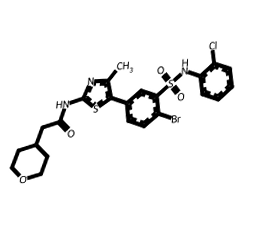 Cc1nc(NC(=O)CC2CCOCC2)sc1-c1ccc(Br)c(S(=O)(=O)Nc2ccccc2Cl)c1